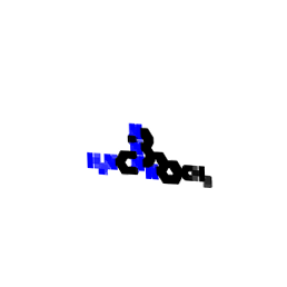 Cc1ccc2nc(N3CCC(N)CC3)c(-c3ccncn3)cc2c1